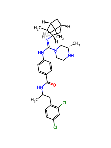 CC(Cc1ccc(Cl)cc1Cl)NC(=O)c1ccc(N/C(=N/[C@H]2C[C@H]3C[C@@H]([C@@H]2C)C3(C)C)N2CCN[C@@H](C)C2)cc1